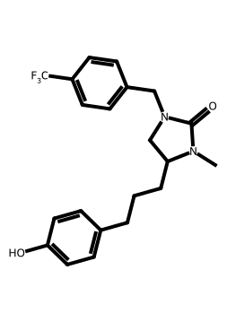 CN1C(=O)N(Cc2ccc(C(F)(F)F)cc2)CC1CCCc1ccc(O)cc1